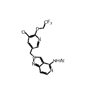 CC(=O)Nc1nccc2nn(Cc3cnc(OCC(F)(F)F)c(Cl)c3)cc12